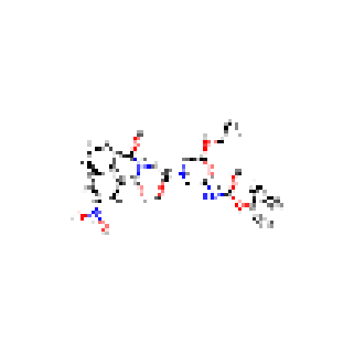 CCOC(=O)CN(CCNC(=O)OC(C)(C)C)C(=O)CN1C(=O)c2cccc3cc([N+](=O)[O-])cc(c23)C1=O